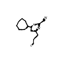 N#Cc1nc(CCC=O)cc(C2CCCCCC2)n1